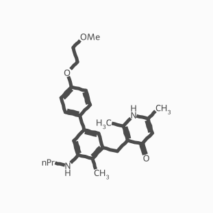 CCCNc1cc(-c2ccc(OCCOC)cc2)cc(Cc2c(C)[nH]c(C)cc2=O)c1C